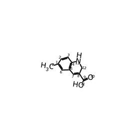 Cc1ccc2c(c1)C=C(C(=O)O)CN2